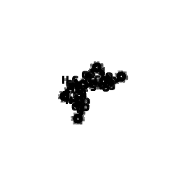 C=c1/c(=C\c2c(C)n(C(=O)OCc3ccccc3)c3cc(/N=C4/C(=O)N(C(=O)OCc5ccccc5)C(=O)C(C#N)=C4C)sc23)n(C(=O)OCc2ccccc2)c2cc(/N=C3/C(=O)N(C(=O)OCc4ccccc4)C(=O)C(C#N)=C3C)sc12